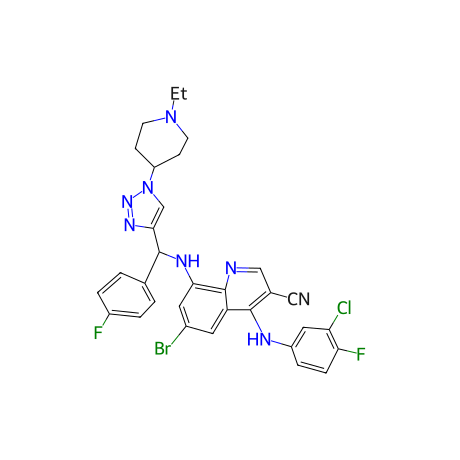 CCN1CCC(n2cc(C(Nc3cc(Br)cc4c(Nc5ccc(F)c(Cl)c5)c(C#N)cnc34)c3ccc(F)cc3)nn2)CC1